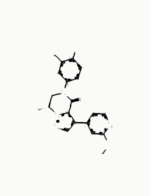 COc1cc(-c2cnn3c2C(=O)N(c2ccc(Cl)c(Cl)c2)C[C@@H]3C)ccn1